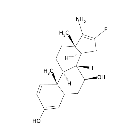 C[C@]12C=CC(O)=CC1C[C@H](O)[C@@H]1[C@@H]2CC[C@]2(C)C(N)=C(F)C[C@@H]12